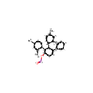 CC(C)(C)c1ccc(-c2c(OP=O)ccc(-c3ccccc3)c2-c2ccc(C(C)(C)C)cc2C(C)(C)C)c(C(C)(C)C)c1